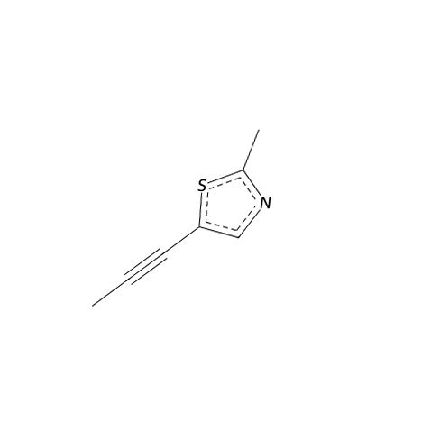 CC#Cc1cnc(C)s1